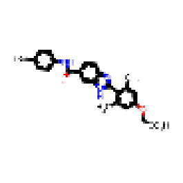 Cc1cc(OCC(=O)O)cc(C)c1-c1nc2ccc(C(=O)Nc3ccc(C(C)(C)C)cc3)cc2[nH]1